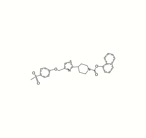 CS(=O)(=O)c1ccc(OCc2csc(C3CCN(C(=O)Oc4cccc5ccccc45)CC3)n2)cc1